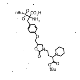 CCCCS(=O)(=O)C(N)(Cc1ccc(OCC2CN(CCC(C(=O)OC(C)(C)C)N3CCCCC3)C(=O)O2)cc1)C(=O)O